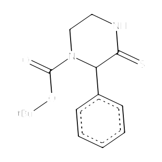 CC(C)(C)OC(=O)N1CCNC(=S)C1c1ccccc1